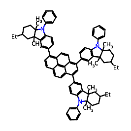 CCC1CCC2(C)N(c3ccccc3)c3ccc(-c4ccc5ccc6c(-c7ccc8c(c7)C7(C)CC(CC)CCC7(C)N8c7ccccc7)cc(-c7ccc8c(c7)C7(C)CC(CC)CCC7(C)N8c7ccccc7)c7ccc4c5c67)cc3C2(C)C1